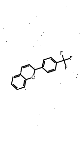 FC(F)(F)c1ccc(C2C=Cc3ccccc3O2)cc1